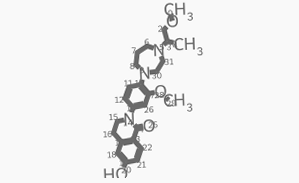 COCC(C)N1CCCN(c2ccc(N3CCc4cc(O)ccc4C3=O)cc2OC)CC1